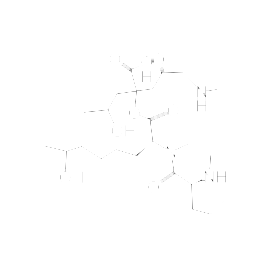 CC[C@H](C)[C@H](NC)C(=O)N(C)[C@@H](CCCCC(C)O)C(=O)OC(CC(=O)[C@H](C)NC)(CC(C)O)C(=O)O